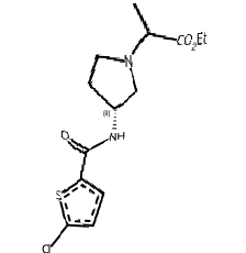 CCOC(=O)C(C)N1CC[C@@H](NC(=O)c2ccc(Cl)s2)C1